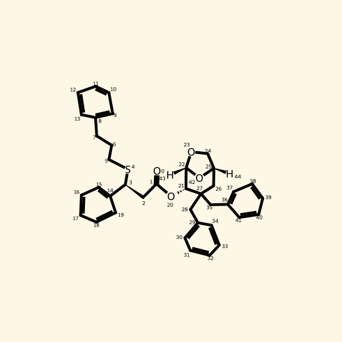 O=C(C[C@H](SCCCc1ccccc1)c1ccccc1)O[C@@H]1[C@@H]2OC[C@H](CC1(Cc1ccccc1)Cc1ccccc1)O2